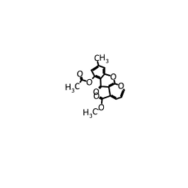 COC(=O)C1=CC=COc2oc3cc(C)cc(OC(C)=O)c3c(=O)c21